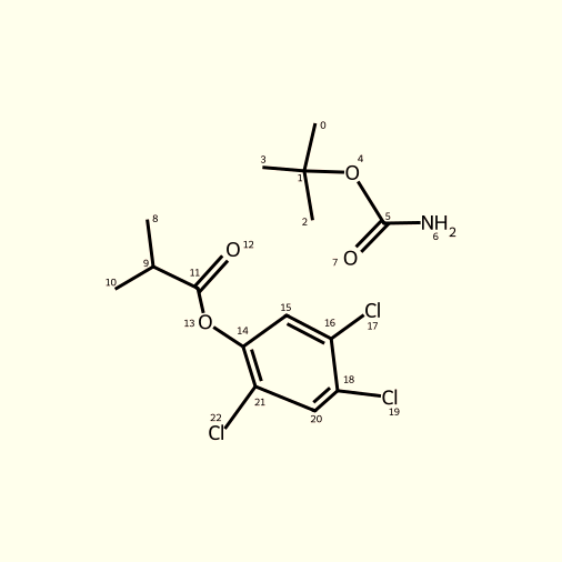 CC(C)(C)OC(N)=O.CC(C)C(=O)Oc1cc(Cl)c(Cl)cc1Cl